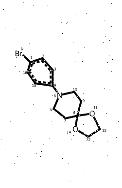 Brc1ccc(N2CCC3(CC2)OCCO3)cc1